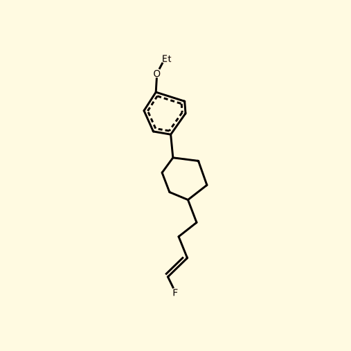 CCOc1ccc(C2CCC(CCC=CF)CC2)cc1